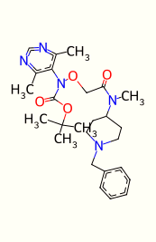 Cc1ncnc(C)c1N(OCC(=O)N(C)C1CCN(Cc2ccccc2)CC1)C(=O)OC(C)(C)C